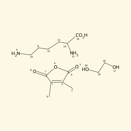 CC1=C(C)C(=O)OC1=O.NCCCCC(N)C(=O)O.OCCO